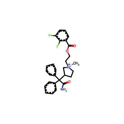 C[N@+]1(CCOC(=O)c2cccc(F)c2F)CCC(C(C(N)=O)(c2ccccc2)c2ccccc2)C1